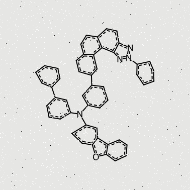 c1ccc(-c2cccc(N(c3cccc(-c4ccc5ccc6ccc7nn(-c8ccccc8)nc7c6c5c4)c3)c3ccc4oc5ccccc5c4c3)c2)cc1